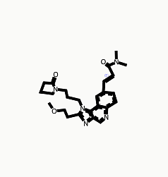 COCCc1nc2cnc3ccc(/C=C/C(=O)N(C)C)cc3c2n1CCCN1CCCC1=O